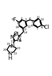 Fc1cc(Cc2ccc(Cl)cc2)cc(Cc2nc(N3CCNCC3)no2)c1